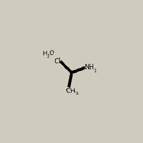 CC(N)Cl.O